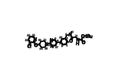 CN(Cc1cccc(-c2cnc(N3CCC(Oc4ncccc4Cl)CC3)nc2)c1)C(=O)CNC(=O)OC(C)(C)C